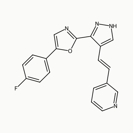 Fc1ccc(-c2cnc(-c3n[nH]cc3C=Cc3cccnc3)o2)cc1